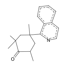 CC1CC(C)(c2nccc3ccccc23)CC(C)(C)C1=O